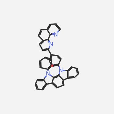 c1ccc(-n2c3ccccc3c3ccc4c5ccccc5n(-c5ccc(-c6ccc7ccc8cccnc8c7n6)cc5)c4c32)cc1